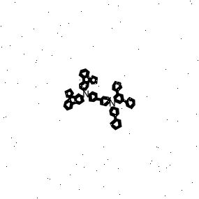 c1ccc(-c2ccc(N(c3ccc(-c4ccc(N(c5ccc6c(c5)C5(CCCC5)c5ccccc5-6)c5ccc6c(c5)C5(CCCC5)c5ccccc5-6)cc4)cc3)c3cc(-c4ccccc4)cc(-c4ccccc4)c3)cc2)cc1